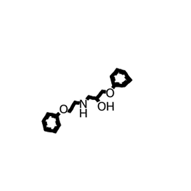 OC(CNCCOc1ccccc1)COc1ccccc1